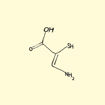 N/C=C(\S)C(=O)O